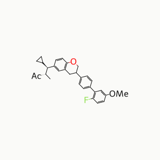 COc1ccc(F)c(-c2ccc(C3COc4ccc([C@H](C5CC5)[C@H](C)C(C)=O)cc4C3)cc2)c1